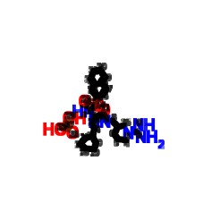 N=C(N)N1CCCC(CNC(=O)[C@@H](CCC2CCCCC2)NS(=O)(=O)c2ccc3ccccc3c2)C1.O=S(O)O